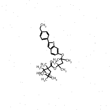 CCc1ccc(-c2cc3ccc(OC(C)(C)CC(C)(C)OC(=O)C(C)(CC(C)(C)C)C(C)(C)C)cc3s2)cc1